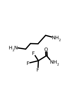 NC(=O)C(F)(F)F.NCCCCN